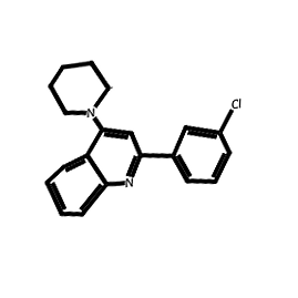 Clc1cccc(-c2cc(N3[CH]CCCC3)c3ccccc3n2)c1